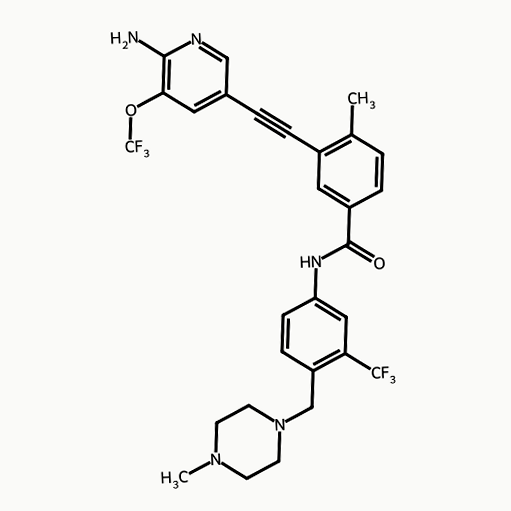 Cc1ccc(C(=O)Nc2ccc(CN3CCN(C)CC3)c(C(F)(F)F)c2)cc1C#Cc1cnc(N)c(OC(F)(F)F)c1